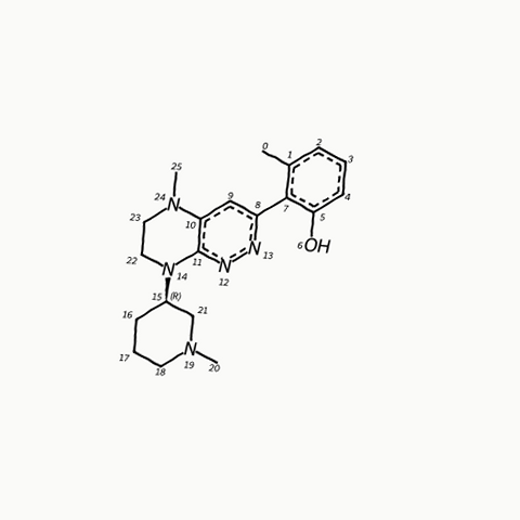 Cc1cccc(O)c1-c1cc2c(nn1)N([C@@H]1CCCN(C)C1)CCN2C